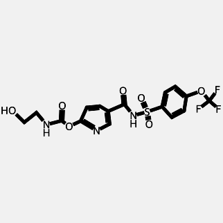 O=C(NCCO)Oc1ccc(C(=O)NS(=O)(=O)c2ccc(OC(F)(F)F)cc2)cn1